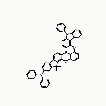 CC1(C)c2cc(N(c3ccccc3)c3ccccc3)ccc2-c2ccc3c(c21)Oc1cccc2c1B3c1ccc3c(c1O2)c1ccccc1n3-c1ccccc1